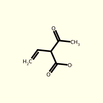 C=CC(C(C)=O)C([O])=O